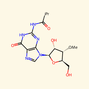 CO[C@H]1[C@@H](O)[C@H](n2cnc3c(=O)[nH]c(NC(=O)C(C)C)nc32)O[C@@H]1CO